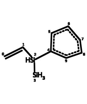 C=C[SiH]([SiH3])c1ccccc1